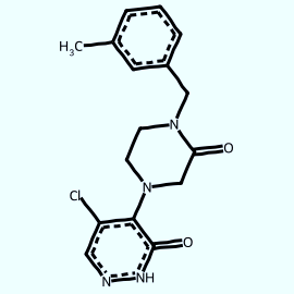 Cc1cccc(CN2CCN(c3c(Cl)cn[nH]c3=O)CC2=O)c1